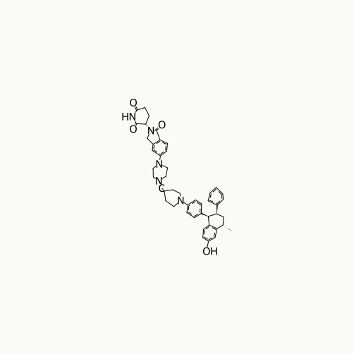 C[C@H]1C[C@H](c2ccccc2)[C@H](c2ccc(N3CCC(CN4CCN(c5ccc6c(c5)CN([C@H]5CCC(=O)NC5=O)C6=O)CC4)CC3)cc2)c2ccc(O)cc21